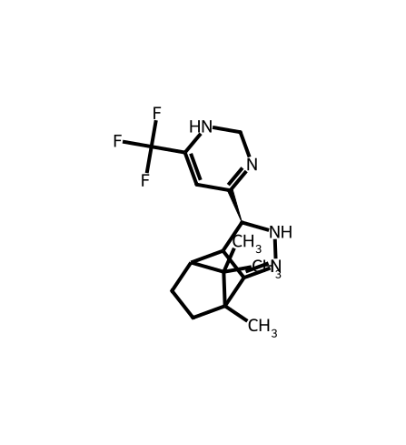 CC12CCC(C3C1=NN[C@@H]3C1=NCNC(C(F)(F)F)=C1)C2(C)C